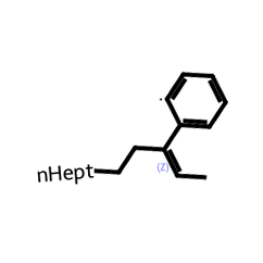 C/C=C(/CCCCCCCCC)c1[c]cccc1